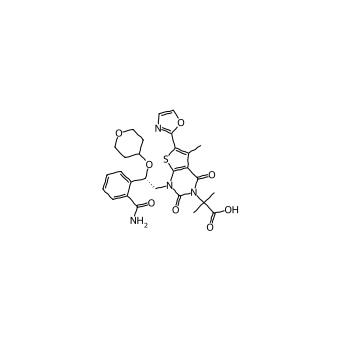 Cc1c(-c2ncco2)sc2c1c(=O)n(C(C)(C)C(=O)O)c(=O)n2C[C@@H](OC1CCOCC1)c1ccccc1C(N)=O